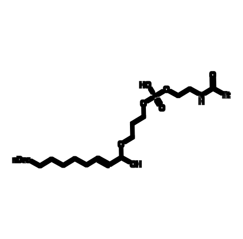 CCCCCCCCCCCCCCC/C=C/C(O)OCCCOP(=O)(O)OCCNC(=O)CC